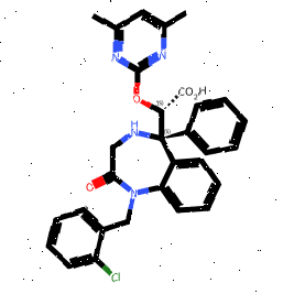 Cc1cc(C)nc(O[C@H](C(=O)O)[C@@]2(c3ccccc3)NCC(=O)N(Cc3ccccc3Cl)c3ccccc32)n1